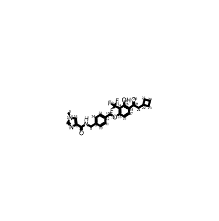 Cn1cnc(C(=O)NCc2ccc(COc3ccc(C(=O)CC4CCC4)c(O)c3C(F)(F)F)cc2)c1